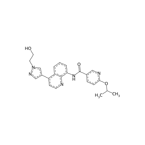 CC(C)Oc1ccc(C(=O)Nc2cccc3c(-c4cnn(CCO)c4)ccnc23)cn1